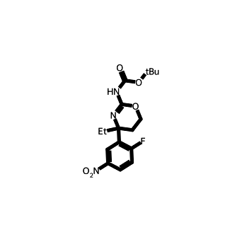 CCC1(c2cc([N+](=O)[O-])ccc2F)CCOC(NC(=O)OC(C)(C)C)=N1